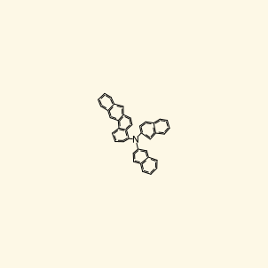 c1ccc2cc(N(c3ccc4ccccc4c3)c3cccc4c3ccc3cc5ccccc5cc34)ccc2c1